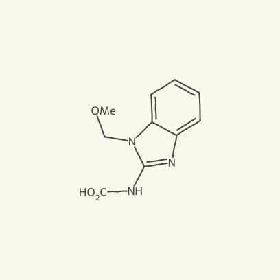 COCn1c(NC(=O)O)nc2ccccc21